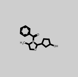 CC1COC(C2CCC(O)C2)N1C(=O)c1ccccc1